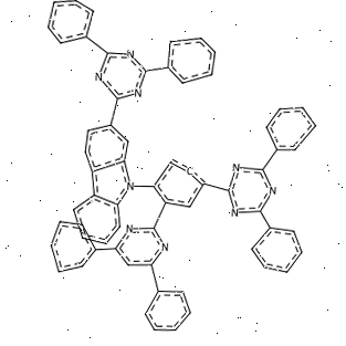 c1ccc(-c2cc(-c3ccccc3)nc(-c3cc(-c4nc(-c5ccccc5)nc(-c5ccccc5)n4)ccc3-n3c4ccccc4c4ccc(-c5nc(-c6ccccc6)nc(-c6ccccc6)n5)cc43)n2)cc1